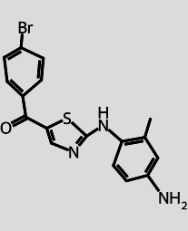 Cc1cc(N)ccc1Nc1ncc(C(=O)c2ccc(Br)cc2)s1